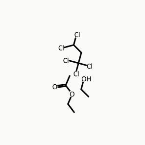 CCO.CCOC(C)=O.ClC(Cl)CC(Cl)(Cl)Cl